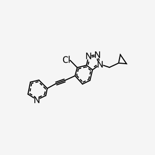 Clc1c(C#Cc2cccnc2)ccc2c1nnn2CC1CC1